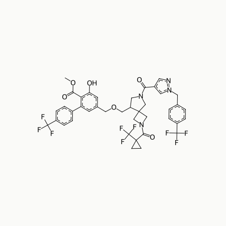 COC(=O)c1c(O)cc(COCC2CN(C(=O)c3cnn(Cc4ccc(C(F)(F)F)cc4)c3)CC23CN(C(=O)C2(C(F)(F)F)CC2)C3)cc1-c1ccc(C(F)(F)F)cc1